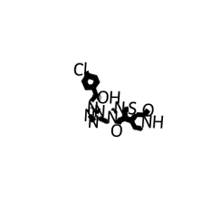 O=C1NCCc2c1sc1ncn(Cc3nnn(C[C@H](O)c4ccc(Cl)cc4)n3)c(=O)c21